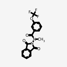 CN(C(=O)c1cccc(OC(F)(F)F)c1)N1C(=O)c2ccccc2C1=O